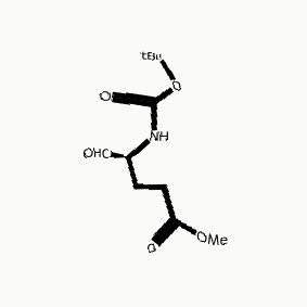 COC(=O)CC[C@@H](C=O)NC(=O)OC(C)(C)C